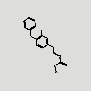 CC(C)(C)OC(=O)NCCc1ccc(Oc2ccccc2)c(I)c1